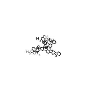 CC(C)(C)c1ccc(Nc2cc3oc4cc(C(C)(C)C)ccc4c3cc2-c2ccc3c4cc5sc6ccccc6c5cc4n4c3c2Bc2cc3c(cc2-4)-c2ccccc2C3(C)C)cc1